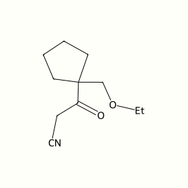 CCOCC1(C(=O)CC#N)CCCC1